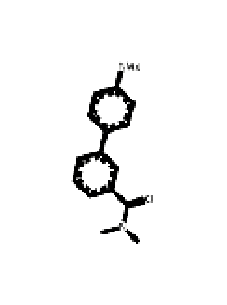 CNc1ccc(-c2cccc(C(=O)N(C)C)c2)cc1